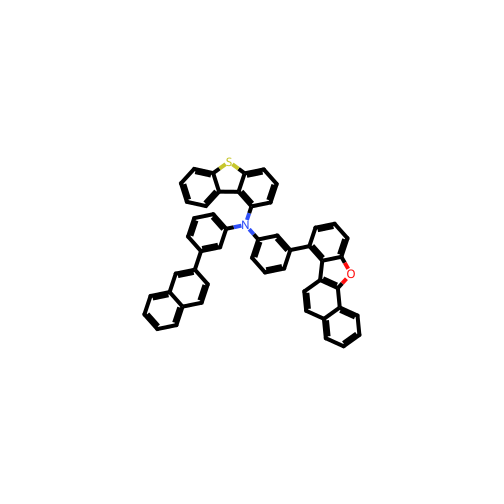 c1cc(-c2ccc3ccccc3c2)cc(N(c2cccc(-c3cccc4oc5c6ccccc6ccc5c34)c2)c2cccc3sc4ccccc4c23)c1